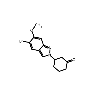 COc1cc2nn(C3CCCC(=O)C3)cc2cc1Br